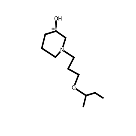 CCC(C)OCCCN1CCC[C@@H](O)C1